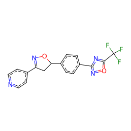 FC(F)(F)c1nc(-c2ccc(C3CC(c4ccncc4)=NO3)cc2)no1